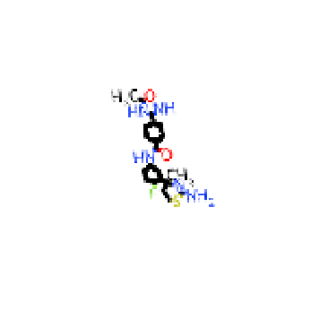 CC(=O)NC(=N)c1ccc(C(=O)Nc2ccc(F)c([C@]3(C)CCSC(N)=N3)c2)cc1